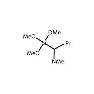 CNC(C(C)C)[Si](OC)(OC)OC